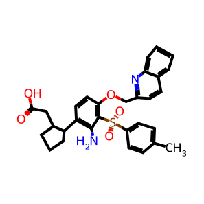 Cc1ccc(S(=O)(=O)c2c(OCc3ccc4ccccc4n3)ccc(C3CCCC3CC(=O)O)c2N)cc1